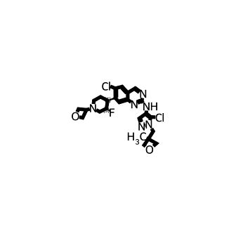 CC1(Cn2ncc(Nc3ncc4cc(Cl)c([C@@H]5CCN(C6COC6)C[C@H]5F)cc4n3)c2Cl)COC1